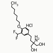 CCCCCCCOc1ccc(CCC(N)(CO)CO)cc1C(F)F.Cl